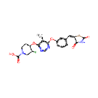 Cc1c(Oc2cccc(C=C3SC(=O)NC3=O)c2)ncnc1OC1CCN(C(=O)O)CC1F